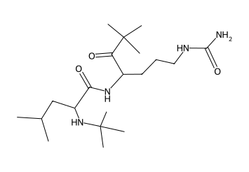 CC(C)CC(NC(C)(C)C)C(=O)NC(CCCNC(N)=O)C(=O)C(C)(C)C